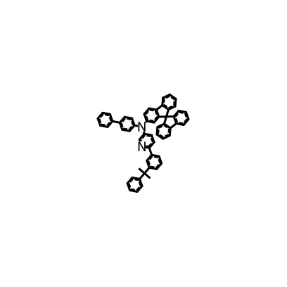 CC(C)(c1ccccc1)c1cccc(-c2ccc(N(c3ccc(-c4ccccc4)cc3)c3ccc4c(c3)C3(c5ccccc5-c5ccccc53)c3ccccc3-4)cn2)c1